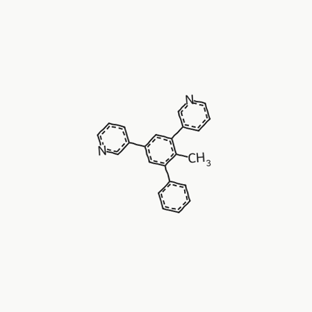 Cc1c(-c2ccccc2)cc(-c2cccnc2)cc1-c1cccnc1